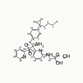 CCCCC1(c2ccc(CC(N)(c3cccc(NCC(=O)O)n3)S(=O)(=O)c3ccccn3)cc2)CC1.Cl